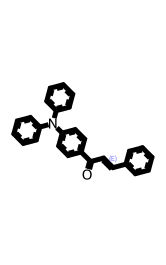 O=C(/C=C/c1ccccc1)c1ccc(N(c2ccccc2)c2ccccc2)cc1